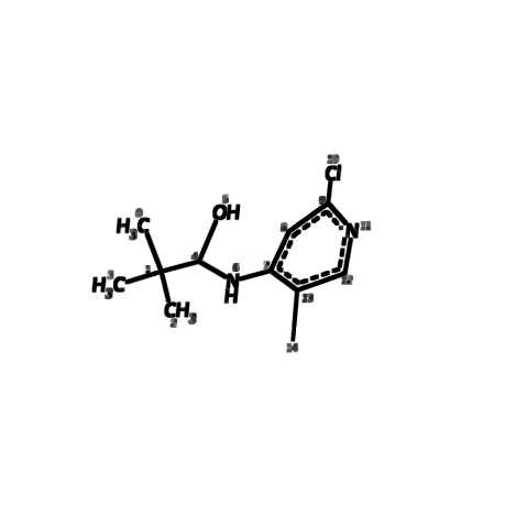 CC(C)(C)C(O)Nc1cc(Cl)ncc1I